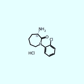 Cl.N[C@H]1CCCCN(c2ccccc2Cl)C1=O